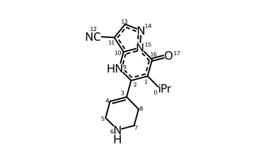 CC(C)c1c(C2=CCNCC2)[nH]c2c(C#N)cnn2c1=O